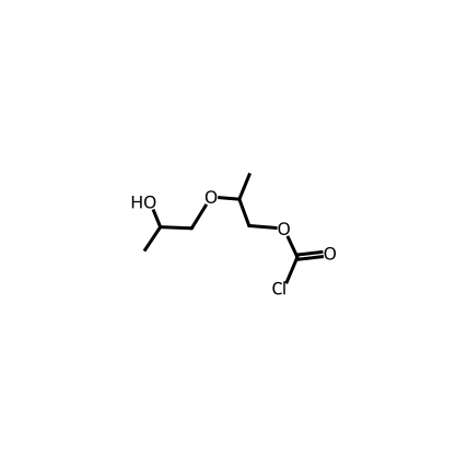 CC(O)COC(C)COC(=O)Cl